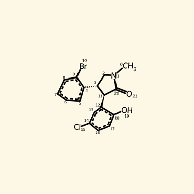 CN1C[C@@H](c2ccccc2Br)[C@H](c2cc(Cl)ccc2O)C1=O